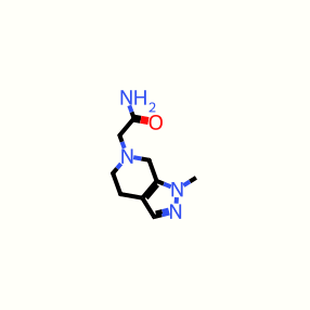 Cn1ncc2c1CN(CC(N)=O)CC2